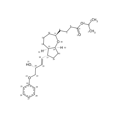 CC(C)OC(=O)CCC[C@@H]1CCC[C@H]2[C@H](CC[C@@H]2/C=C/[C@@H](O)COc2ccccc2)O1